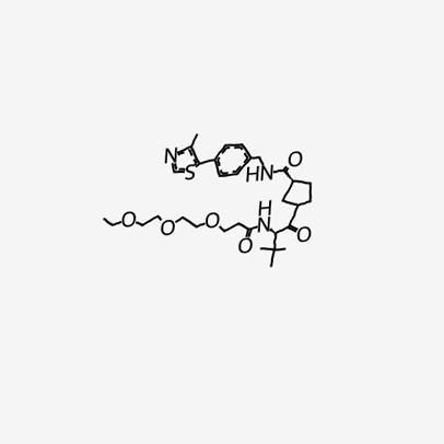 CCOCCOCCOCCC(=O)N[C@@H](C(=O)C1CC[C@H](C(=O)NCc2ccc(-c3scnc3C)cc2)C1)C(C)(C)C